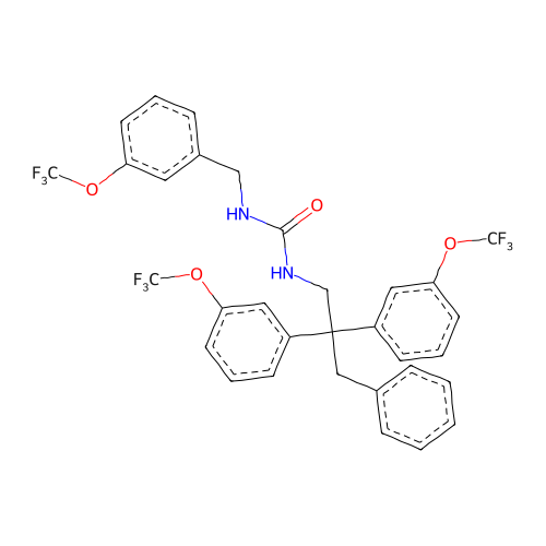 O=C(NCc1cccc(OC(F)(F)F)c1)NCC(Cc1ccccc1)(c1cccc(OC(F)(F)F)c1)c1cccc(OC(F)(F)F)c1